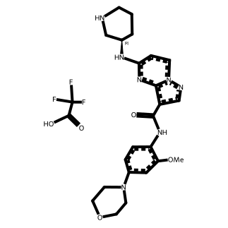 COc1cc(N2CCOCC2)ccc1NC(=O)c1cnn2ccc(N[C@@H]3CCCNC3)nc12.O=C(O)C(F)(F)F